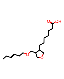 CCC=CCCOCC1COCC1CCCCCCC(=O)O